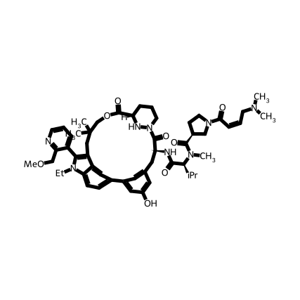 CCn1c(-c2cccnc2COC)c2c3cc(ccc31)-c1cc(O)cc(c1)C[C@H](NC(=O)[C@H](C(C)C)N(C)C(=O)[C@H]1CCN(C(=O)/C=C\CN(C)C)C1)C(=O)N1CCC[C@H](N1)C(=O)OCC(C)(C)C2